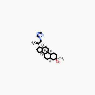 C=C(Cn1cncn1)[C@H]1CC[C@H]2[C@@H]3CC[C@@H]4C[C@](C)(O)CC[C@@H]4[C@H]3CC[C@]12C